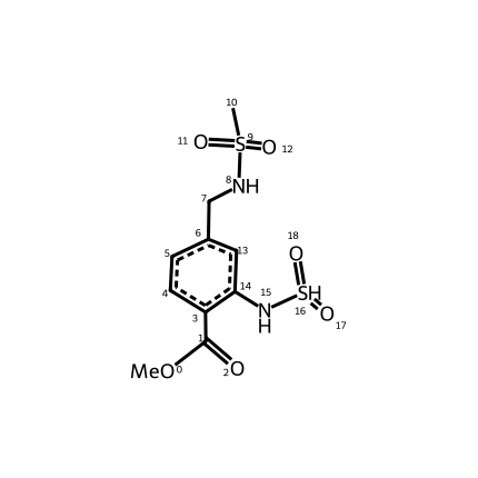 COC(=O)c1ccc(CNS(C)(=O)=O)cc1N[SH](=O)=O